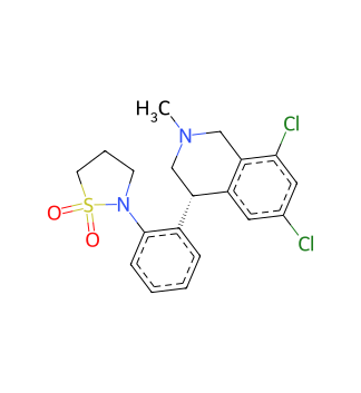 CN1Cc2c(Cl)cc(Cl)cc2[C@H](c2ccccc2N2CCCS2(=O)=O)C1